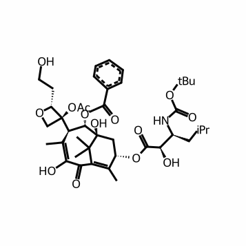 CC(=O)O[C@@]1([C@@H]2/C(C)=C(/O)C(=O)C3=C(C)[C@@H](OC(=O)[C@H](O)[C@H](CC(C)C)NC(=O)OC(C)(C)C)C[C@@](O)([C@H]2OC(=O)c2ccccc2)C3(C)C)CO[C@@H]1CCO